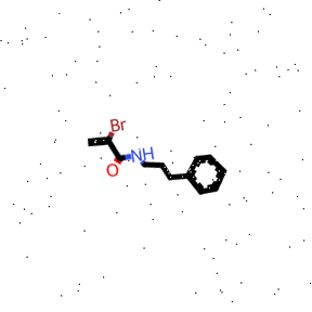 C=C(Br)C(=O)NCCCc1ccccc1